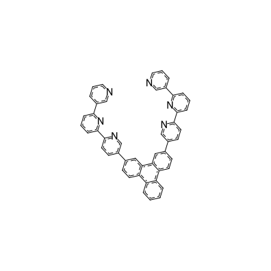 c1cncc(-c2cccc(-c3ccc(-c4ccc5c6ccccc6c6ccc(-c7ccc(-c8cccc(-c9cccnc9)n8)nc7)cc6c5c4)cn3)n2)c1